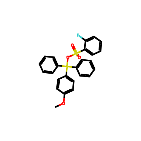 COc1ccc(S(OS(=O)(=O)c2ccccc2F)(c2ccccc2)c2ccccc2)cc1